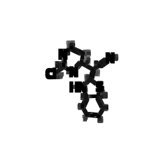 N#C/C(=C1/Nc2ccccc2S1)c1ccnc(Cl)n1